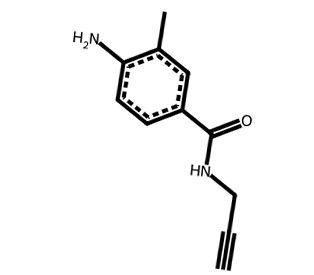 C#CCNC(=O)c1ccc(N)c(C)c1